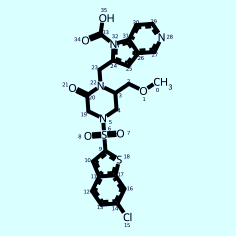 COCC1CN(S(=O)(=O)c2cc3ccc(Cl)cc3s2)CC(=O)N1Cc1cc2cnccc2n1C(=O)O